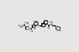 CN(C)[C@@H]1CCN(C(=O)c2cc3nccc(Oc4ccc5c(C(=O)NCCN6CCOCC6)cccc5c4)c3s2)C1